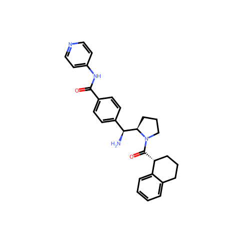 N[C@@H](c1ccc(C(=O)Nc2ccncc2)cc1)[C@H]1CCCN1C(=O)[C@@H]1CCCc2ccccc21